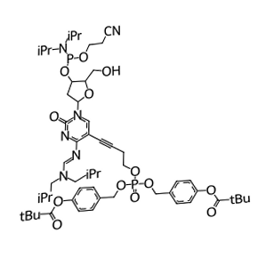 CC(C)CN(/C=N/c1nc(=O)n(C2CC(OP(OCCC#N)N(C(C)C)C(C)C)C(CO)O2)cc1C#CCCOP(=O)(OCc1ccc(OC(=O)C(C)(C)C)cc1)OCc1ccc(OC(=O)C(C)(C)C)cc1)CC(C)C